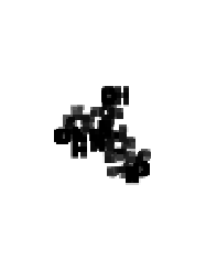 Cc1noc(C)c1-c1ccc2c(c1)nc(C1CCCC(=O)N1)n2C1CC(O)C1